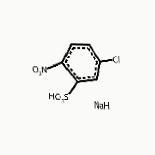 O=[N+]([O-])c1ccc(Cl)cc1S(=O)(=O)O.[NaH]